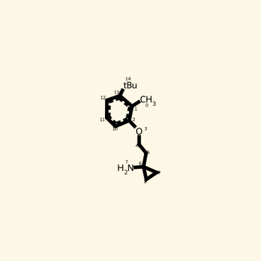 Cc1c(OCCC2(N)CC2)cccc1C(C)(C)C